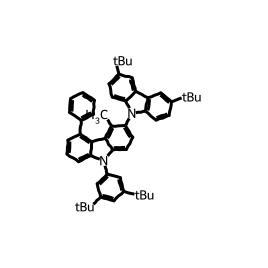 Cc1c(-n2c3ccc(C(C)(C)C)cc3c3cc(C(C)(C)C)ccc32)ccc2c1c1c(-c3ccccc3)cccc1n2-c1cc(C(C)(C)C)cc(C(C)(C)C)c1